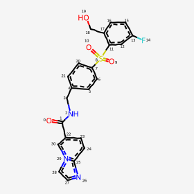 O=C(NCc1ccc(S(=O)(=O)c2cc(F)ccc2CO)cc1)c1ccc2nccn2c1